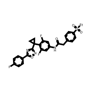 CCS(=O)(=O)c1ccc(CC(=O)Nc2cc(F)c(C3(c4noc(-c5ccc(F)cc5)n4)CC3)c(F)c2)cc1